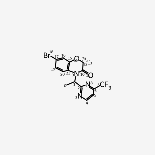 CC(c1nccc(C(F)(F)F)n1)N1C(=O)[C@@H](C)Oc2cc(Br)ccc21